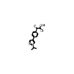 CC(C)n1cc(-c2ccc(C(=O)C(=O)O)cc2)cn1